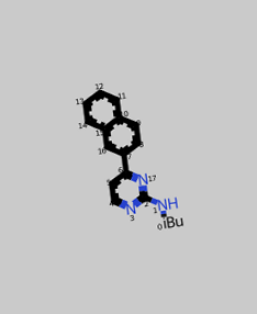 CCC(C)Nc1nccc(-c2ccc3ccccc3c2)n1